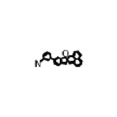 N#Cc1cccc(-c2ccc3c(c2)C(=O)C2(C=C4C=CC=C5C=CC=C(C2)C54)C3)c1